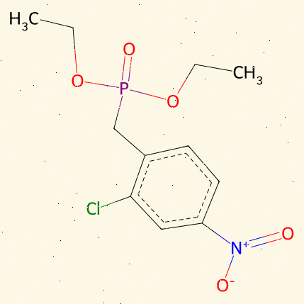 CCOP(=O)(Cc1ccc([N+](=O)[O-])cc1Cl)OCC